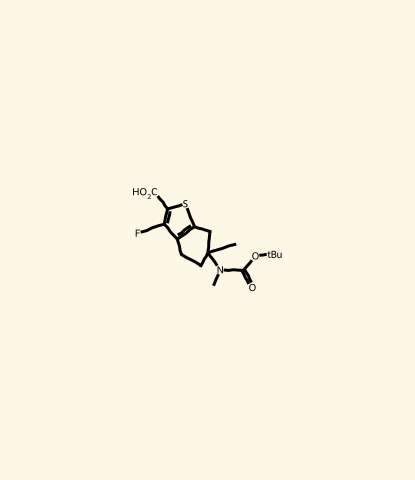 CN(C(=O)OC(C)(C)C)C1(C)CCc2c(sc(C(=O)O)c2F)C1